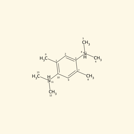 Cc1cc([SiH](C)C)c(C)cc1[SiH](C)C